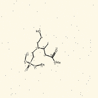 CCOP(=O)(CCN(CCO)C(C)CC(=O)OC)OCC